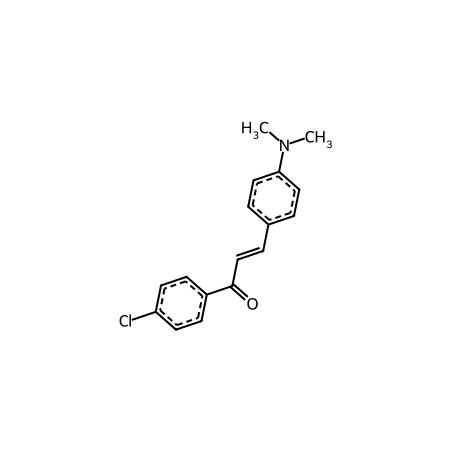 CN(C)c1ccc(C=CC(=O)c2ccc(Cl)cc2)cc1